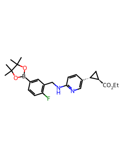 CCOC(=O)[C@@H]1C[C@H]1c1ccc(NCc2cc(B3OC(C)(C)C(C)(C)O3)ccc2F)nc1